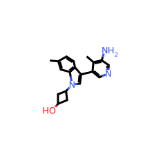 Cc1ccc2c(-c3cncc(N)c3C)cn(C3CC(O)C3)c2c1